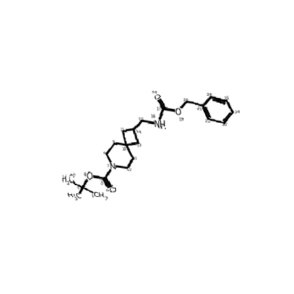 CC(C)(C)OC(=O)N1CCC2(CC1)CC(CNC(=O)OCc1ccccc1)C2